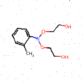 Cc1ccccc1N(OCCO)OCCO